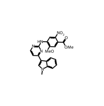 COC(=O)c1cc(OC)c(Nc2nccc(-c3cn(C)c4ccccc34)n2)cc1[N+](=O)[O-]